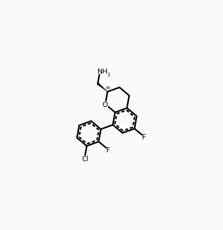 NC[C@H]1CCc2cc(F)cc(-c3cccc(Cl)c3F)c2O1